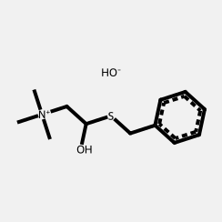 C[N+](C)(C)CC(O)SCc1ccccc1.[OH-]